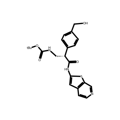 CC(C)(C)OC(=O)NC[C@@H](C(=O)Nc1cc2ccncc2s1)c1ccc(CO)cc1